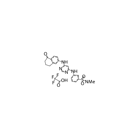 CNS(=O)(=O)c1cccc(Nc2cc(Nc3ccc4c(c3)CCCC4=O)ncn2)c1.O=C(O)C(F)(F)F